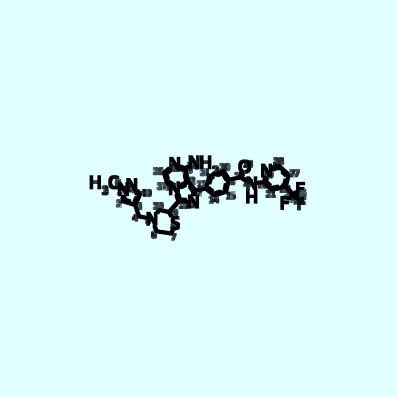 Cn1cc(CN2CCSC(c3nc(-c4ccc(C(=O)Nc5cc(C(F)(F)F)ccn5)cc4)c4c(N)nccn34)C2)cn1